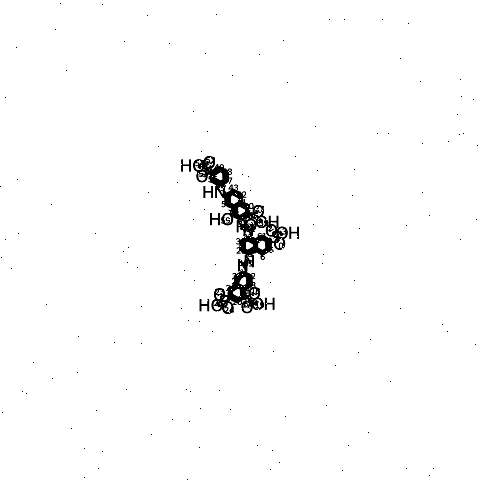 O=S(=O)(O)C1=CCc2c(N=Nc3ccc4c(S(=O)(=O)O)cc(S(=O)(=O)O)cc4c3)ccc(N=Nc3c(S(=O)(=O)O)cc4ccc(Nc5cccc(S(=O)(=O)O)c5)cc4c3O)c2C1